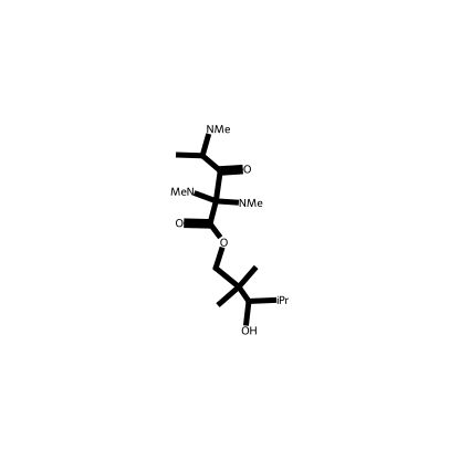 CNC(C)C(=O)C(NC)(NC)C(=O)OCC(C)(C)C(O)C(C)C